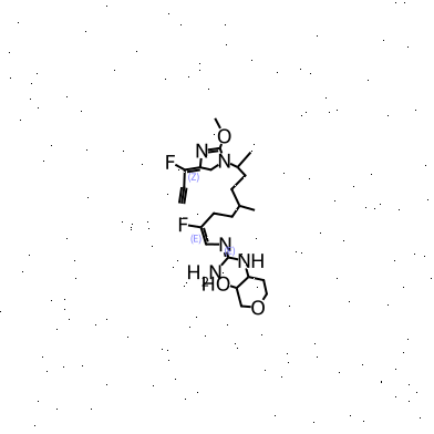 C#C/C(F)=C1\CN(C(C)CCC(C)CC/C(F)=C\N=C(/N)NC2CCOCC2O)C(OC)=N1